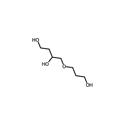 OCCCOCC(O)CCO